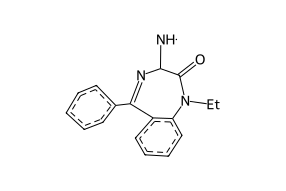 CCN1C(=O)C([NH])N=C(c2ccccc2)c2ccccc21